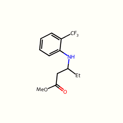 CCC(CC(=O)OC)Nc1ccccc1C(F)(F)F